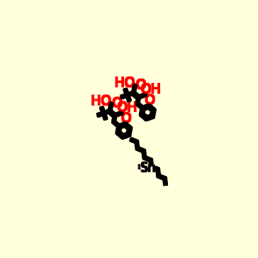 CC(C)(C)/C(C(=O)O)=C(\Cc1ccccc1)C(=O)O.CC(C)(C)/C(C(=O)O)=C(\Cc1ccccc1)C(=O)O.CCCCC[CH2][Sn][CH2]CCC